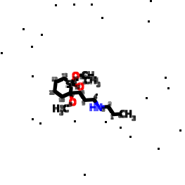 CCCNCCCC1(OC)CCCC[Si]1(OC)OC